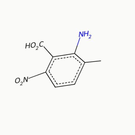 Cc1ccc([N+](=O)[O-])c(C(=O)O)c1N